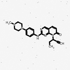 C#CC(CC)n1c(=O)ccc2cnc(Nc3ccc(N4CCN(C)CC4)cc3)nc21